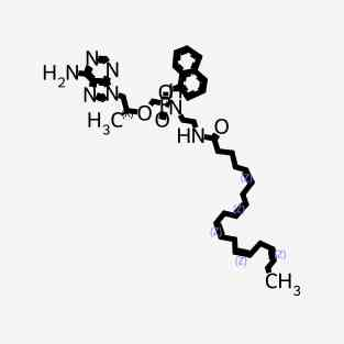 CC/C=C\C/C=C\C/C=C\C/C=C\C/C=C\CCCC(=O)NCCNP(=O)(CO[C@H](C)Cn1cnc2c(N)ncnc21)Oc1cccc2ccccc12